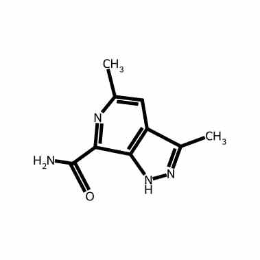 Cc1cc2c(C)n[nH]c2c(C(N)=O)n1